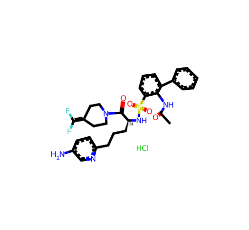 CC(=O)Nc1c(-c2ccccc2)cccc1S(=O)(=O)N[C@@H](CCCc1ccc(N)cn1)C(=O)N1CCC(=C(F)F)CC1.Cl